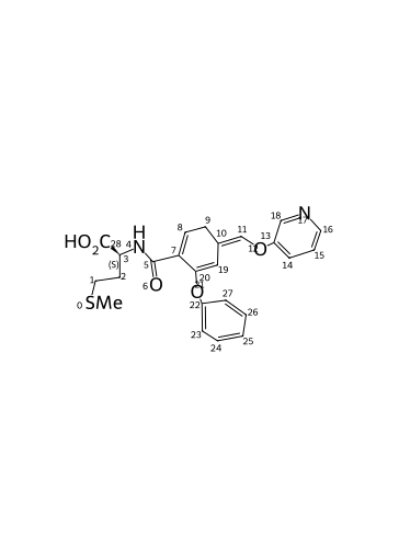 CSCC[C@H](NC(=O)C1=CCC(=COc2cccnc2)C=C1Oc1ccccc1)C(=O)O